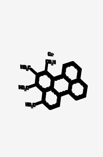 O=C(O)c1c(C(=O)O)c2c(C(=O)O)ccc3c4cccc5cccc(c(c1C(=O)O)c23)c54.[Cu]